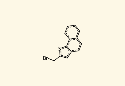 BrCc1cc2ccc3ccccc3c2s1